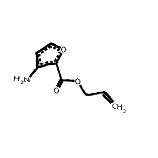 C=CCOC(=O)c1occc1N